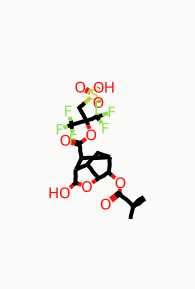 C=C(C)C(=O)OC1C2CC3C1OC(O)C3C2C(=O)OC(CS(=O)(=O)O)(C(F)(F)F)C(F)(F)F